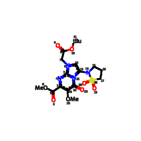 COC(=O)c1nc2n(CC(=O)OC(C)(C)C)cc(N3CCCS3(=O)=O)n2c(=O)c1OC